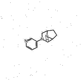 c1cncc(N2CC3CCC(C2)N3)c1